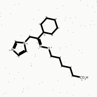 O=C(O)CCCCCO/N=C(/Cn1ccnc1)C1CCCCC1